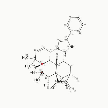 C=C1C(=O)[C@]23[C@H](O)[C@H]1CC[C@H]2[C@@]12CO[C@@]3(O)[C@@H](O)[C@@H]1C(C)(C)C=C[C@@H]2N1C=C(c2ccccc2)NN1